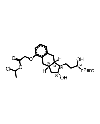 CCCCC[C@H](O)CC[C@@H]1[C@H]2Cc3cccc(OCC(=O)OC(C)Cl)c3C[C@H]2C[C@H]1O